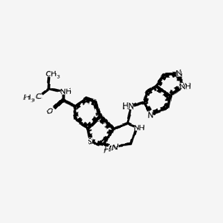 CC(C)NC(=O)c1ccc2c3c(sc2c1)NCNC3Nc1cc2cn[nH]c2cn1